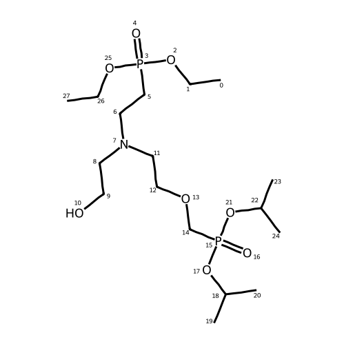 CCOP(=O)(CCN(CCO)CCOCP(=O)(OC(C)C)OC(C)C)OCC